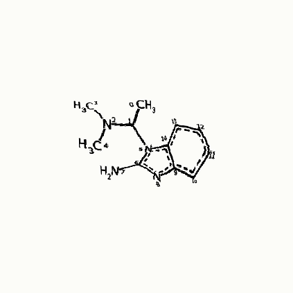 CC(N(C)C)n1c(N)nc2ccccc21